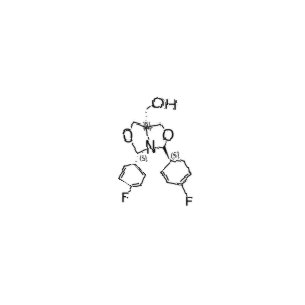 OC[C@]12COC([C@@H]3C=CC(F)=CC3)N1[C@H](c1ccc(F)cc1)OC2